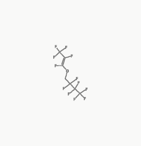 FC(OCC(F)(F)C(F)(F)C(F)(F)F)=C(F)C(F)(F)F